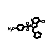 Cc1ccc(S(=O)(=O)n2c(Cc3ccccc3)cc3c(Cl)ccnc32)cc1